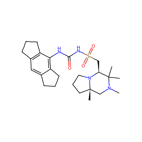 CN1C[C@]2(C)CCCN2[C@@H](CS(=O)(=O)NC(=O)Nc2c3c(cc4c2CCC4)CCC3)C1(C)C